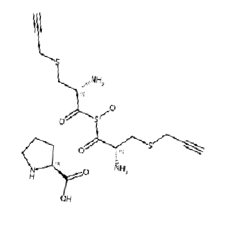 C#CCSC[C@H](N)C(=O)[S+]([O-])C(=O)[C@@H](N)CSCC#C.O=C(O)[C@@H]1CCCN1